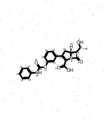 C[C@@H](O)[C@H]1C(=O)N2C(C(=O)O)=C(c3cccc(OC(=O)Nc4ccccc4)c3)C[C@H]12